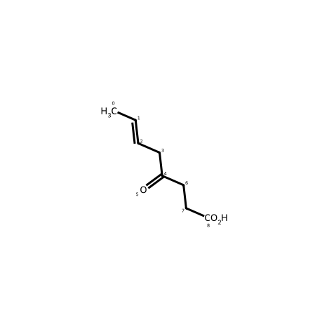 CC=CCC(=O)CCC(=O)O